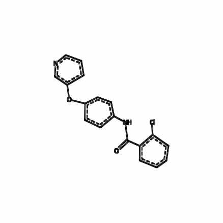 O=C(Nc1ccc(Oc2cccnc2)cc1)c1ccccc1Cl